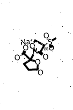 CS(=O)(=O)[C@H]1CON(C2(C(=O)[O-])CCC(=O)O2)C1=O.[Na+]